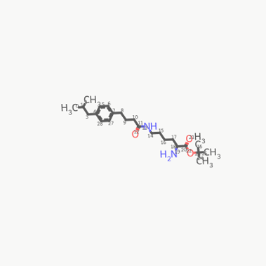 CC(C)Cc1ccc(CCCC(=O)NCCCCC(N)C(=O)OC(C)(C)C)cc1